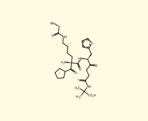 CC(C)(C)OC(=O)NCCCC[C@](N)(C(=O)N[C@@H](Cc1cccs1)C(=O)CCC(=S)NC(C)(C)C(=O)O)C(=O)C1CCCC1